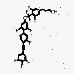 C=CCCc1cc(F)c(C(F)(F)Oc2cc(F)c(-c3ccc(C#Cc4cc(F)c(F)c(F)c4)c(F)c3)c(F)c2)c(F)c1